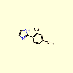 Cc1ccc(-c2ncc[nH]2)cc1.[Cu]